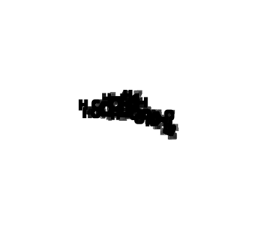 C[C@@]1(O)CC[C@@H]2[C@H](CC[C@@H]3[C@@H]2CC[C@]2(C)[C@H]3[C@@H]3C[C@H]3[C@H]2C(=O)Cn2cc(C(=O)N3CCC3)cn2)C1